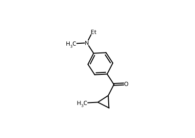 CCN(C)c1ccc(C(=O)C2CC2C)cc1